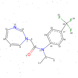 CC(C)N(C(=O)CN1C=CC=CN=C1)c1ccc(C(F)(F)F)cc1